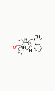 C=C1C[C@@H]2[C@H](CC[C@]3(C)C(=O)CC[C@@H]23)c2ccccc21